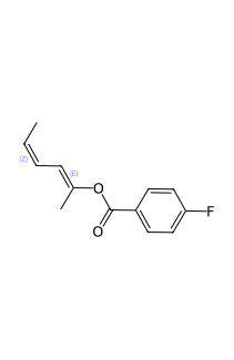 C/C=C\C=C(/C)OC(=O)c1ccc(F)cc1